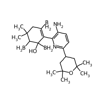 BC1=C(c2nc(C3CC(C)(C)OC(C)(C)C3)ccc2N)C(B)(O)C(B)C(C)(C)C1